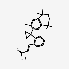 Cc1cc2c(cc1C1(c3ccccc3/C=C/C(=O)O)CC1)C(C)(C)CCC2(C)C